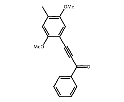 COc1cc(C#CC(=O)c2ccccc2)c(OC)cc1C